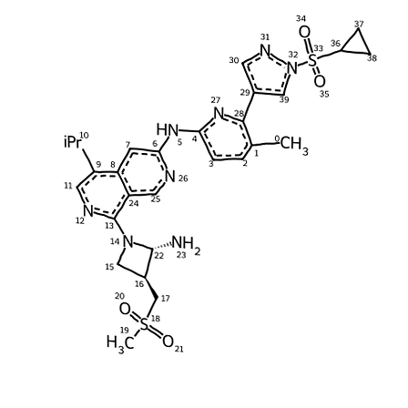 Cc1ccc(Nc2cc3c(C(C)C)cnc(N4C[C@H](CS(C)(=O)=O)[C@H]4N)c3cn2)nc1-c1cnn(S(=O)(=O)C2CC2)c1